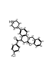 O=C(c1ccc(Cl)cc1)C1CC(=O)N(Cc2ccccc2)c2ccc(N3CCNCC3)cc21